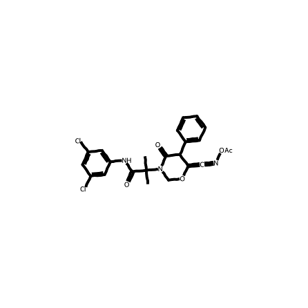 CC(=O)ON=C=C1OCN(C(C)(C)C(=O)Nc2cc(Cl)cc(Cl)c2)C(=O)C1c1ccccc1